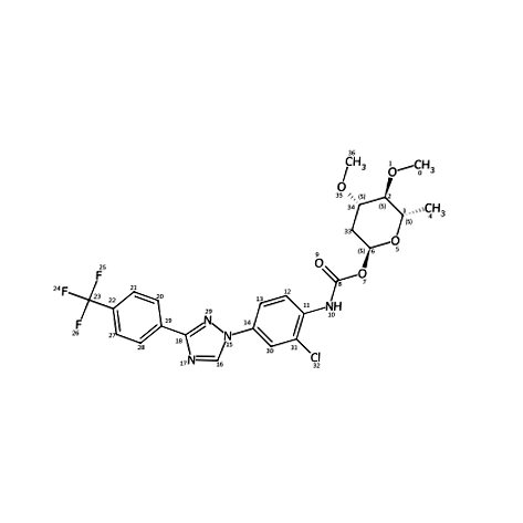 CO[C@H]1[C@H](C)O[C@@H](OC(=O)Nc2ccc(-n3cnc(-c4ccc(C(F)(F)F)cc4)n3)cc2Cl)C[C@@H]1OC